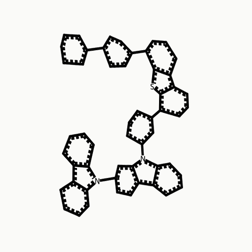 c1ccc(-c2ccc(-c3cccc4c3sc3c(-c5cccc(-n6c7ccccc7c7ccc(-n8c9ccccc9c9ccccc98)cc76)c5)cccc34)cc2)cc1